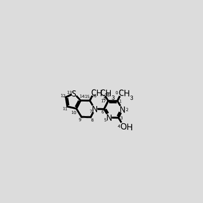 Cc1nc(O)nc(N2CCc3ccsc3C2C)c1C